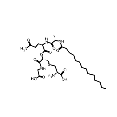 CCCCCCCCCCCCCC(=O)N[C@@H](C)C(=O)N[C@H](CCC(N)=O)C(=O)O[C@H](CSC[C@H](N)C(=O)O)C(=O)NCC(=O)O